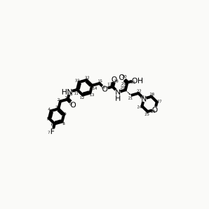 O=C(Cc1ccc(F)cc1)Nc1ccc(COC(=O)N[C@@H](CCN2CCOCC2)C(=O)O)cc1